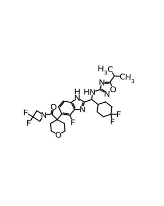 CC(C)c1nc(NC(c2nc3c(F)c(C4(C(=O)N5CC(F)(F)C5)CCOCC4)ccc3[nH]2)C2CCC(F)(F)CC2)no1